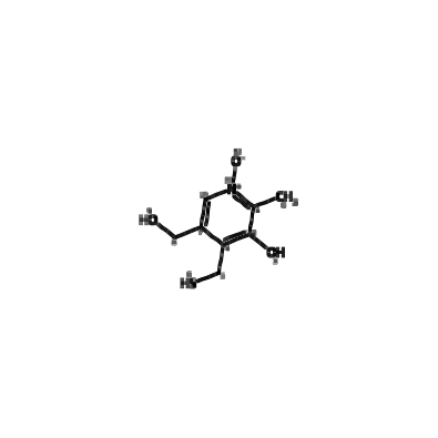 Cc1c(O)c(CS)c(CO)c[n+]1[O-]